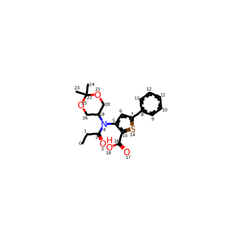 CCC(=O)N(c1cc(-c2ccccc2)sc1C(=O)O)C1COC(C)(C)OC1